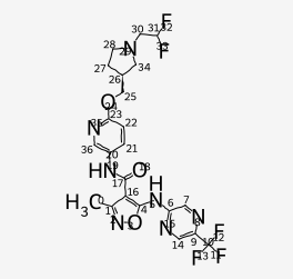 Cc1noc(Nc2cnc(C(F)(F)F)cn2)c1C(=O)Nc1ccc(OC[C@H]2CCN(CC(F)F)C2)nc1